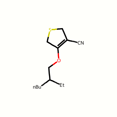 CCCCC(CC)COC1=C(C#N)CSC1